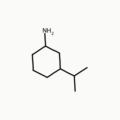 CC(C)C1CCCC(N)C1